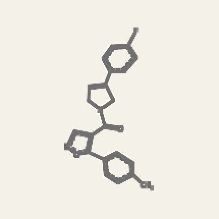 Cc1ccc(-c2oncc2C(=O)N2CC=C(c3ccc(F)cc3)C2)cc1